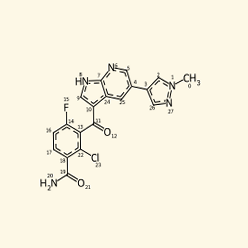 Cn1cc(-c2cnc3[nH]cc(C(=O)c4c(F)ccc(C(N)=O)c4Cl)c3c2)cn1